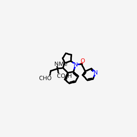 CNC(CC=O)(C(=O)O)C1c2ccccc2N(C(=O)c2cccnc2)C2CCCC21